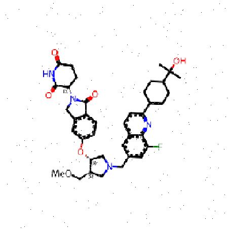 COC[C@@H]1CN(Cc2cc(F)c3nc(C4CCC(C(C)(C)O)CC4)ccc3c2)C[C@H]1Oc1ccc2c(c1)CN([C@H]1CCC(=O)NC1=O)C2=O